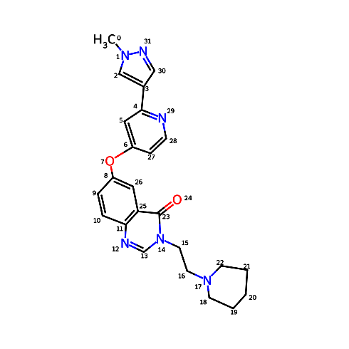 Cn1cc(-c2cc(Oc3ccc4ncn(CCN5CCCCC5)c(=O)c4c3)ccn2)cn1